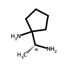 C[C@@H](N)C1(N)CCCC1